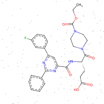 CCOC(=O)N1CCN(C(=O)[C@H](CCC(=O)O)NC(=O)c2cc(-c3cccc(F)c3)nc(-c3ccccc3)n2)CC1